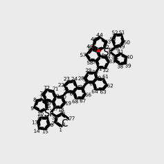 c1ccc([Si](c2ccccc2)(c2ccccc2)c2ccc(-c3cccc4c(-c5ccc(-c6ccc([Si](c7ccccc7)(c7ccccc7)c7ccccc7)c7ccccc67)c6ccccc56)cccc34)c3ccccc23)cc1